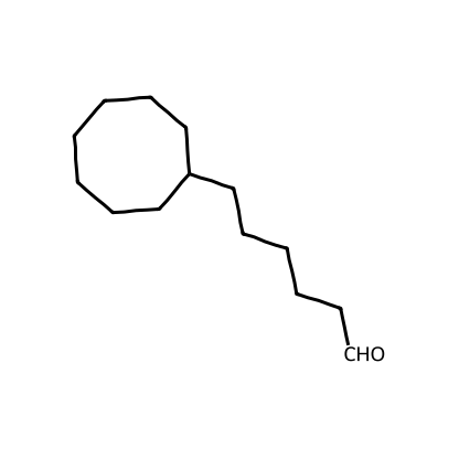 O=CCCCCCC1CCCCCCC1